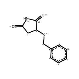 O=C1CC(SCc2ccccc2)C(=O)N1